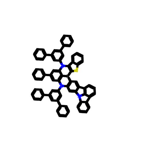 c1ccc(-c2cc(-c3ccccc3)cc(N3c4cc5c(cc4B4c6sc7ccccc7c6N(c6cc(-c7ccccc7)cc(-c7ccccc7)c6)c6cc(-c7ccccc7)cc3c64)c3cccc4c6ccccc6n5c43)c2)cc1